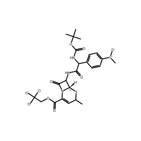 CC1C=C(C(=O)OCC(Cl)(Cl)Cl)N2C(=O)C(NC(=O)C(NC(=O)OC(C)(C)C)c3ccc([S+](C)[O-])cc3)[C@@H]2S1